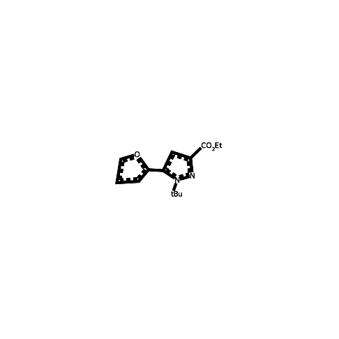 CCOC(=O)c1cc(-c2ccco2)n(C(C)(C)C)n1